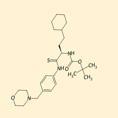 CC(C)(C)OC(=O)N[C@H](CCC1CCCCC1)C(=S)Nc1ccc(CN2CCOCC2)cc1